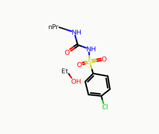 CCCNC(=O)NS(=O)(=O)c1ccc(Cl)cc1.CCO